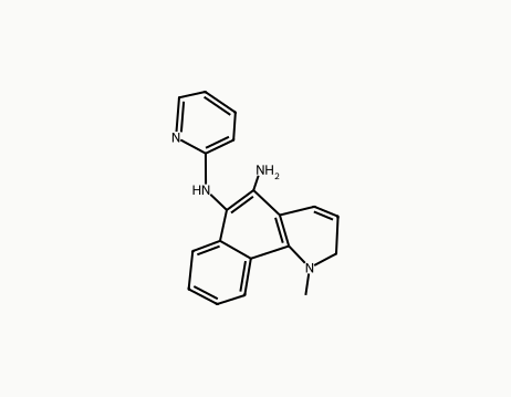 CN1CC=Cc2c(N)c(Nc3ccccn3)c3ccccc3c21